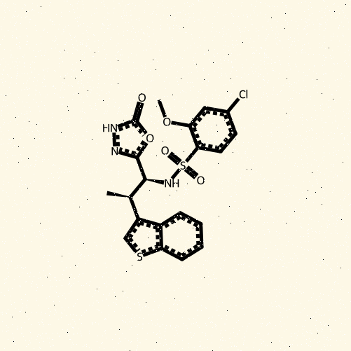 COc1cc(Cl)ccc1S(=O)(=O)N[C@H](c1n[nH]c(=O)o1)[C@H](C)c1csc2ccccc12